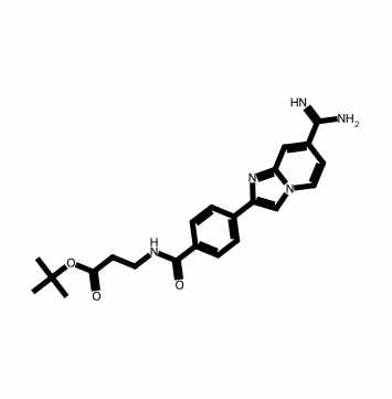 CC(C)(C)OC(=O)CCNC(=O)c1ccc(-c2cn3ccc(C(=N)N)cc3n2)cc1